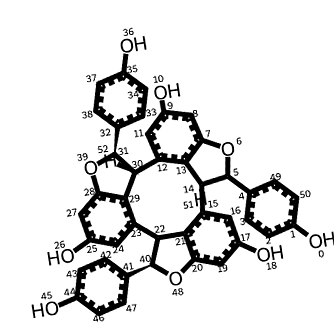 Oc1ccc(C2Oc3cc(O)cc4c3[C@@H]2c2cc(O)cc3c2C(c2cc(O)cc5c2[C@@H]4[C@H](c2ccc(O)cc2)O5)[C@H](c2ccc(O)cc2)O3)cc1